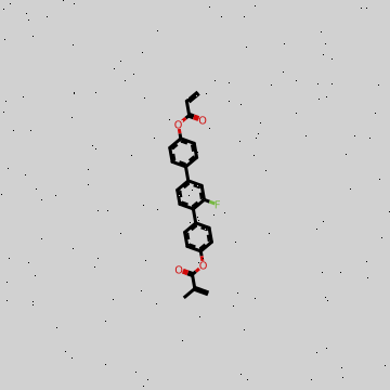 C=CC(=O)Oc1ccc(-c2ccc(-c3ccc(OC(=O)C(=C)C)cc3)c(F)c2)cc1